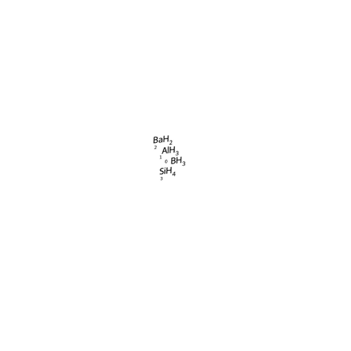 B.[AlH3].[BaH2].[SiH4]